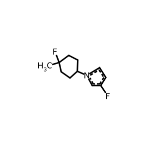 CC1(F)CCC(n2ccc(F)c2)CC1